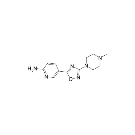 CN1CCN(c2noc(-c3ccc(N)nc3)n2)CC1